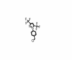 O=Cc1ccc(-n2nc(C(F)(F)F)cc2C(F)(F)F)cc1